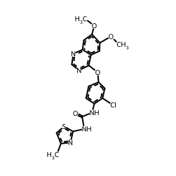 COc1cc2ncnc(Oc3ccc(NC(=O)Nc4nc(C)cs4)c(Cl)c3)c2cc1OC